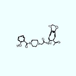 CC(=O)c1cc2c(cc1NC(=O)CN1CCN(C(=O)c3ccccc3O)CC1)OCO2